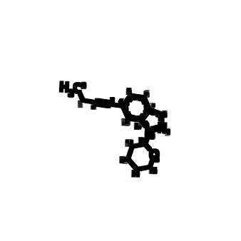 CCC#Cc1ccc2cnn(C3CCCCO3)c2c1